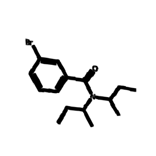 CCC(C)N(C(=O)c1cccc(Br)c1)C(C)CC